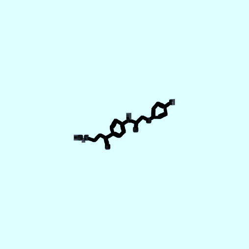 O=C(O)CCC(=O)c1ccc(NC(=O)COc2ccc(Cl)cc2)cc1